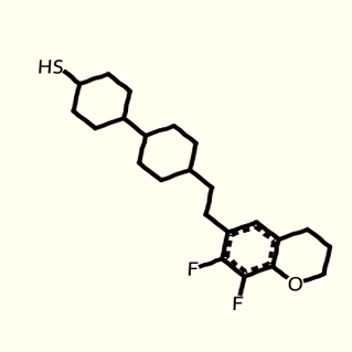 Fc1c(CCC2CCC(C3CCC(S)CC3)CC2)cc2c(c1F)OCCC2